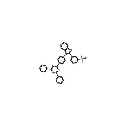 FC(F)(F)c1cccc(-c2nc3ccccc3n2-c2ccc(-c3nc(-c4ccccc4)nc(-c4ccccc4)n3)cc2)c1